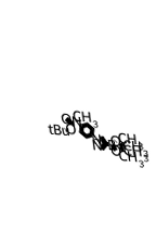 CN(C(=O)OC(C)(C)C)C1CCC(n2cc(B3OC(C)(C)C(C)(C)O3)cn2)CC1